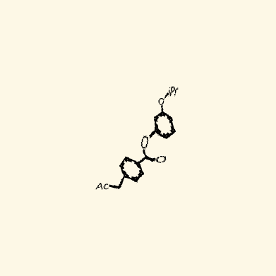 CC(=O)Cc1ccc(C(=O)Oc2cccc(OC(C)C)c2)cc1